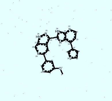 COc1cncc(-c2cc3c(-c4nc5c(-c6ccsc6)ccnc5[nH]4)n[nH]c3cn2)c1